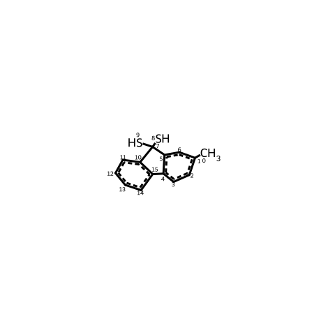 Cc1ccc2c(c1)C(S)(S)c1ccccc1-2